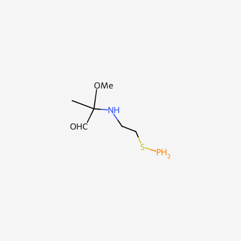 COC(C)(C=O)NCCSP